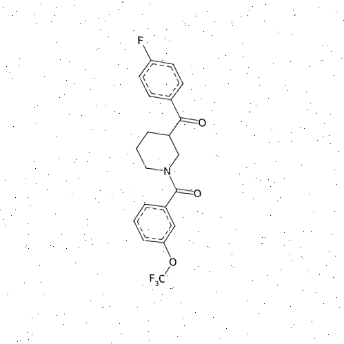 O=C(c1ccc(F)cc1)C1CCCN(C(=O)c2cccc(OC(F)(F)F)c2)C1